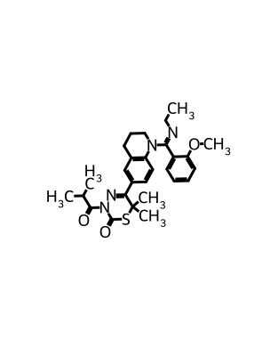 CC/N=C(/c1ccccc1OC)N1CCCc2cc(C3=NN(C(=O)C(C)C)C(=O)SC3(C)C)ccc21